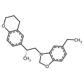 CCc1ccc2c(c1)N(C[C@H](C)c1ccc3c(c1)CCCO3)CO2